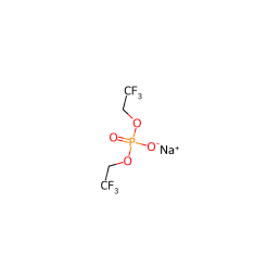 O=P([O-])(OCC(F)(F)F)OCC(F)(F)F.[Na+]